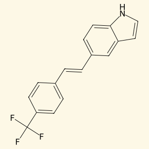 FC(F)(F)c1ccc(C=Cc2ccc3[nH]ccc3c2)cc1